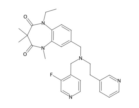 CCN1C(=O)C(C)(C)C(=O)N(C)c2cc(CN(CCc3cccnc3)Cc3ccncc3F)ccc21